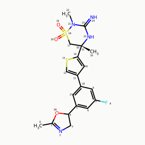 CC1=NCC(c2cc(F)cc(-c3csc([C@]4(C)CS(=O)(=O)N(C)C(=N)N4)c3)c2)O1